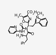 Cc1oc([C@@H](Cc2cn(C)c3ccccc23)N(C(=O)Nc2ccccn2)C(=O)C(N)CC(C)C)nc1C(=O)O